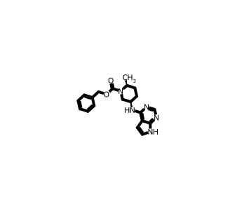 C[C@H]1CC[C@@H](Nc2ncnc3[nH]ccc23)CN1C(=O)OCc1ccccc1